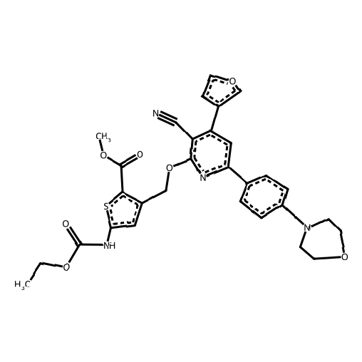 CCOC(=O)Nc1cc(COc2nc(-c3ccc(N4CCOCC4)cc3)cc(-c3ccoc3)c2C#N)c(C(=O)OC)s1